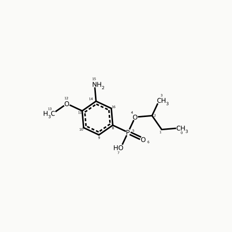 CCC(C)OP(=O)(O)c1ccc(OC)c(N)c1